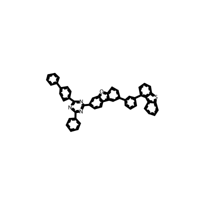 c1ccc(-c2ccc(-c3nc(-c4ccccc4)nc(-c4ccc5c(c4)oc4ccc(-c6cccc(-c7cccc8sc9ccccc9c78)c6)cc45)n3)cc2)cc1